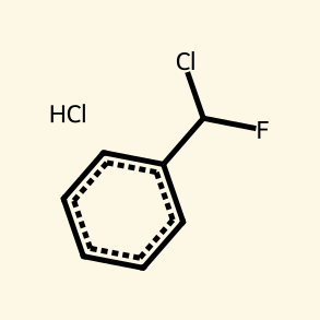 Cl.FC(Cl)c1ccccc1